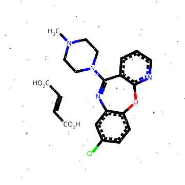 CN1CCN(C2=Nc3cc(Cl)ccc3Oc3ncccc32)CC1.O=C(O)/C=C/C(=O)O